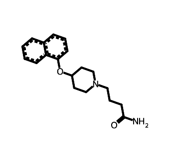 NC(=O)CCCN1CCC(Oc2cccc3ccccc23)CC1